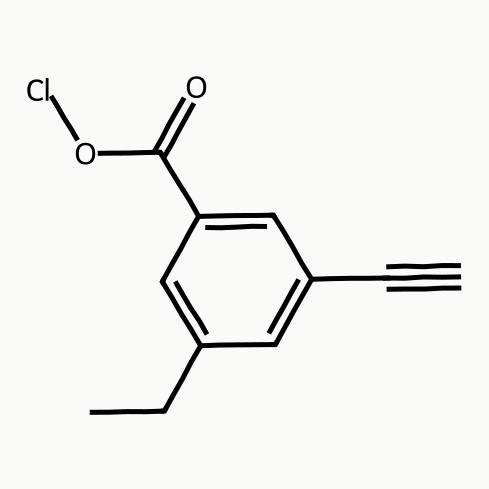 C#Cc1cc(CC)cc(C(=O)OCl)c1